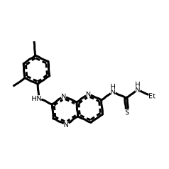 CCNC(=S)Nc1ccc2ncc(Nc3ccc(C)cc3C)nc2n1